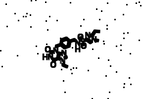 CCc1nc(S(=O)(=O)NCc2ccc(Cn3c(=O)[nH]c(=O)c4c3ncn4CC)cc2)cn1C